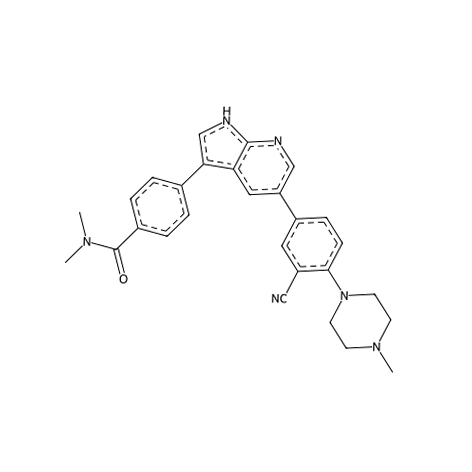 CN1CCN(c2ccc(-c3cnc4[nH]cc(-c5ccc(C(=O)N(C)C)cc5)c4c3)cc2C#N)CC1